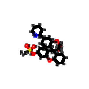 O=S(=O)(Oc1ccc2c(c1)Oc1ccccc1C21c2ccccc2Oc2cc(-c3ccccn3)ccc21)C(F)(F)F